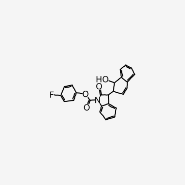 O=C(Oc1ccc(F)cc1)N1C(=O)C(C2C=Cc3ccccc3C2O)c2ccccc21